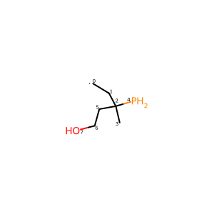 [CH2]CC(C)(P)CCO